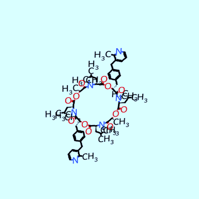 Cc1ncccc1Cc1ccc(C[C@H]2OC(=O)[C@H](CC(C)C)N(C)C(=O)[C@@H](C)OC(=O)[C@H](CC(C)C)N(C)C(=O)[C@@H](Cc3ccc(Cc4cccnc4C)cc3)OC(=O)[C@H](CC(C)C)N(C)C(=O)[C@@H](C)OC(=O)[C@H](CC(C)C)N(C)C2=O)cc1